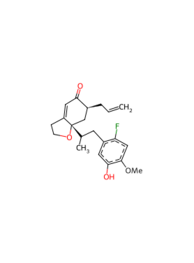 C=CC[C@H]1C[C@]2(C(C)Cc3cc(O)c(OC)cc3F)OCCC2=CC1=O